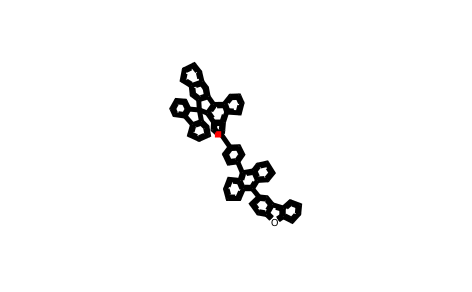 c1ccc2c(c1)-c1ccccc1C21c2cc3ccccc3cc2-c2c1c1ccc(-c3ccc(-c4c5ccccc5c(-c5ccc6oc7ccccc7c6c5)c5ccccc45)cc3)cc1c1ccccc21